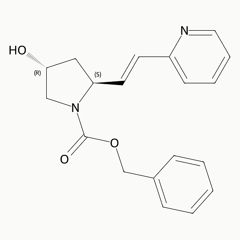 O=C(OCc1ccccc1)N1C[C@H](O)C[C@H]1C=Cc1ccccn1